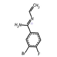 C=C/N=C(\N)c1ccc(F)c(Br)c1